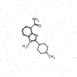 CN1CCN(c2nc3c(C(N)=O)cccc3n2C)CC1